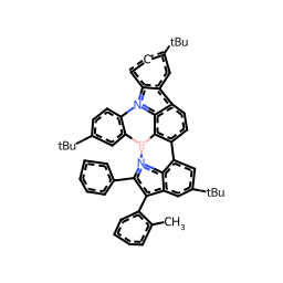 Cc1ccccc1-c1c(-c2ccccc2)n2c3c(cc(C(C)(C)C)cc13)-c1ccc3c4cc(C(C)(C)C)ccc4n4c3c1B2c1cc(C(C)(C)C)ccc1-4